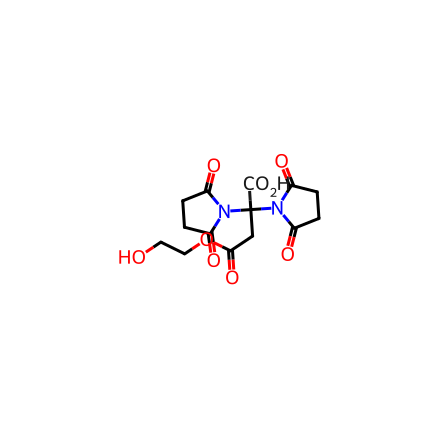 O=C(CC(C(=O)O)(N1C(=O)CCC1=O)N1C(=O)CCC1=O)OCCO